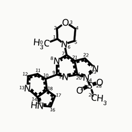 CC1COCCN1c1nc(-c2ccnc3[nH]ccc23)nc2c1cnn2S(C)(=O)=O